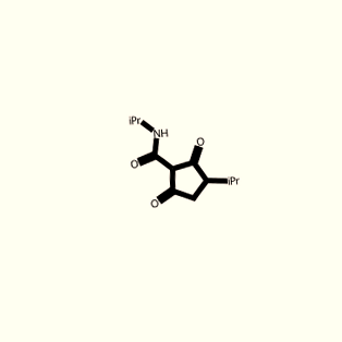 CC(C)NC(=O)C1C(=O)CC(C(C)C)C1=O